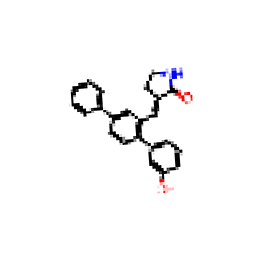 O=C1NCC/C1=C\c1cc(-c2ccccc2)ccc1-c1cccc(O)c1